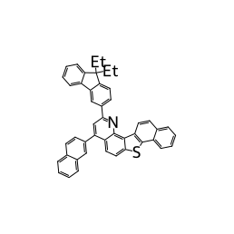 CCC1(CC)c2ccccc2-c2cc(-c3cc(-c4ccc5ccccc5c4)c4ccc5sc6c7ccccc7ccc6c5c4n3)ccc21